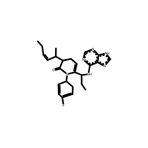 CC/C=C\C(C)C1CC=C(C(CC)Nc2ncnc3[nH]cnc23)N(C2C=CC(F)=CC2)C1=O